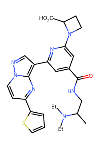 CCN(CC)C(C)CNC(=O)c1cc(-c2cnn3ccc(-c4cccs4)nc23)nc(N2CCC2C(=O)O)c1